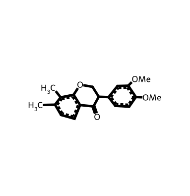 COc1ccc(C2COc3c(ccc(C)c3C)C2=O)cc1OC